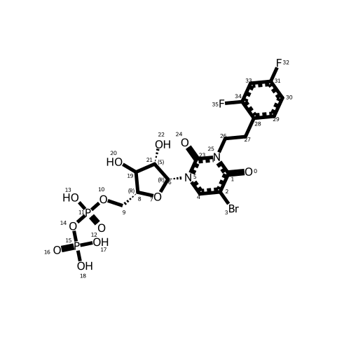 O=c1c(Br)cn([C@@H]2O[C@H](COP(=O)(O)OP(=O)(O)O)C(O)[C@@H]2O)c(=O)n1CCc1ccc(F)cc1F